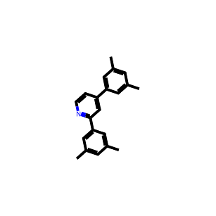 Cc1cc(C)cc(-c2ccnc(-c3cc(C)cc(C)c3)c2)c1